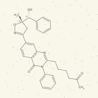 CC(=O)CCCCc1nc2cc(C3=NO[C@](C)([C@H](O)c4ccccc4)C3)ccc2c(=O)n1-c1ccccc1